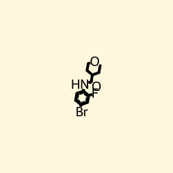 O=C(Nc1ccc(Br)cc1F)C1CCOCC1